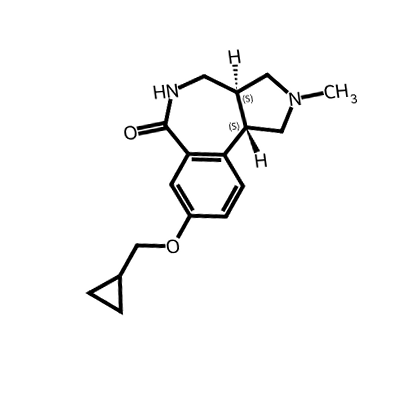 CN1C[C@@H]2CNC(=O)c3cc(OCC4CC4)ccc3[C@H]2C1